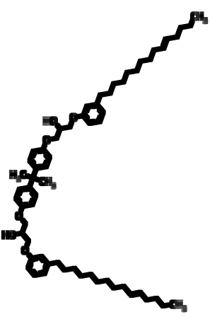 CCCC/C=C/CCCCCCCCCc1cccc(OCC(O)COc2ccc(C(C)(C)c3ccc(OCC(O)COc4cccc(CCCCCCCCC/C=C/CCCC)c4)cc3)cc2)c1